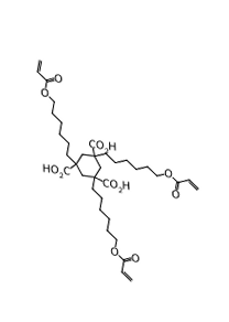 C=CC(=O)OCCCCCCC1(C(=O)O)CC(CCCCCCOC(=O)C=C)(C(=O)O)CC(CCCCCCOC(=O)C=C)(C(=O)O)C1